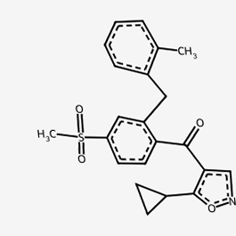 Cc1ccccc1Cc1cc(S(C)(=O)=O)ccc1C(=O)c1cnoc1C1CC1